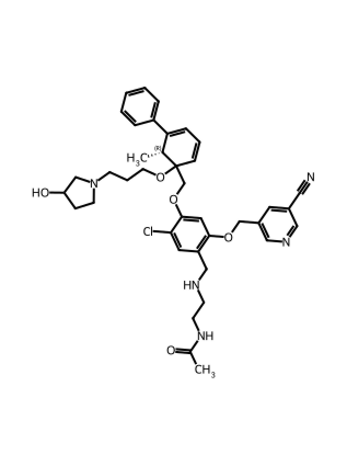 CC(=O)NCCNCc1cc(Cl)c(OCC2(OCCCN3CCC(O)C3)C=CC=C(c3ccccc3)[C@H]2C)cc1OCc1cncc(C#N)c1